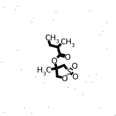 CCC(C)C(=O)OC1(C)COS(=O)(=O)C1